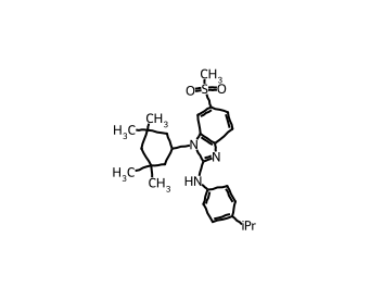 CC(C)c1ccc(Nc2nc3ccc(S(C)(=O)=O)cc3n2C2CC(C)(C)CC(C)(C)C2)cc1